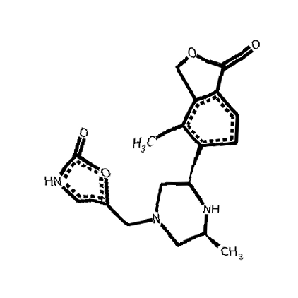 Cc1c([C@@H]2CN(Cc3c[nH]c(=O)o3)C[C@H](C)N2)ccc2c1COC2=O